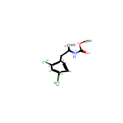 CC(C)(C)OC(=O)NC(C=O)Cc1ccc(Cl)cc1Cl